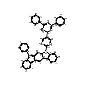 C1=c2c(n(-c3ccccc3)c3ccccc23)=CC2C1c1ccccc1N2c1ncc(C2N=C(c3ccccc3)N=C(c3ccccc3)N2)cn1